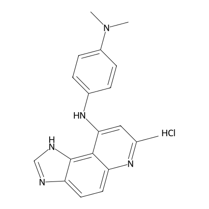 Cc1cc(Nc2ccc(N(C)C)cc2)c2c(ccc3nc[nH]c32)n1.Cl